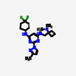 Cc1ccn(-c2nc(NCC3(N(C)C)CCC3)cc(NC3CCC(F)(F)CC3)n2)n1